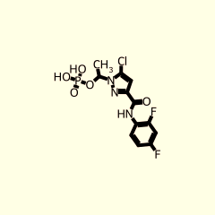 CC(OP(=O)(O)O)n1nc(C(=O)Nc2ccc(F)cc2F)cc1Cl